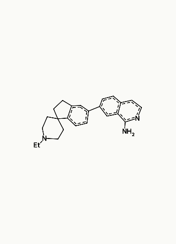 CCN1CCC2(CCc3cc(-c4ccc5ccnc(N)c5c4)ccc32)CC1